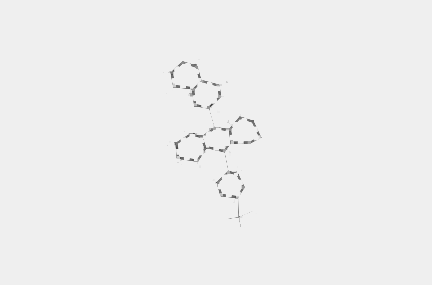 CC(C)(C)c1ccc(-c2c3ccccc3c(-c3ccc4ccccc4c3)c3ccccc23)cc1